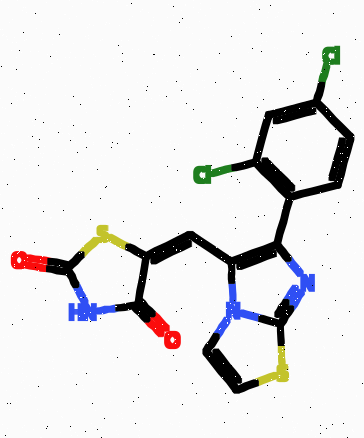 O=C1NC(=O)C(=Cc2c(-c3ccc(Cl)cc3Cl)nc3sccn23)S1